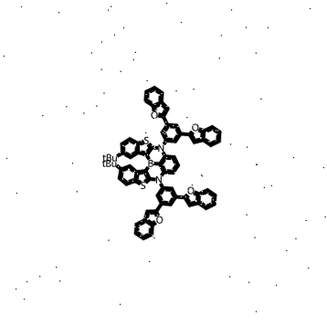 CC(C)(C)c1ccc2sc3c(c2c1)B1c2c(cccc2N(c2cc(-c4cc5ccccc5o4)cc(-c4cc5ccccc5o4)c2)c2sc4ccc(C(C)(C)C)cc4c21)N3c1cc(-c2cc3ccccc3o2)cc(-c2cc3ccccc3o2)c1